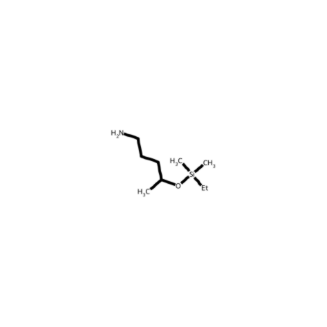 CC[Si](C)(C)OC(C)CCCN